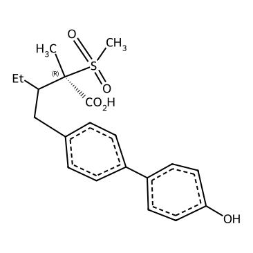 CCC(Cc1ccc(-c2ccc(O)cc2)cc1)[C@](C)(C(=O)O)S(C)(=O)=O